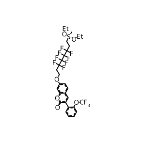 CCO[Si](C)(CCC(F)(F)C(F)(F)C(F)(F)C(F)(F)CCOc1ccc2cc(-c3ccccc3OC(F)(F)F)c(=O)oc2c1)OCC